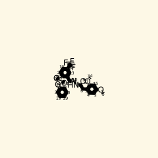 COc1ccc(CC(=O)N/N=C/c2cc(C(F)(F)F)ccc2S(=O)(=O)Oc2ccccc2)c(OC)c1